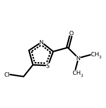 CN(C)C(=O)c1ncc(CCl)s1